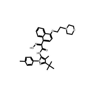 Cc1ccc(-n2nc(C(C)(C)C)c(C)c2NC(=O)C(=NO)c2ccc(OCCN3CCOCC3)c3ccccc23)cc1